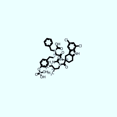 CC[C@H](C)CN(C(N)=O)C(=O)[C@@]1(NC(=O)[C@H](CCc2ccc(OP(=O)(O)O)cc2)N(Cc2ccccc2)C(=O)O)CCc2[nH]c3c(Cl)cc(Cl)cc3c2C1